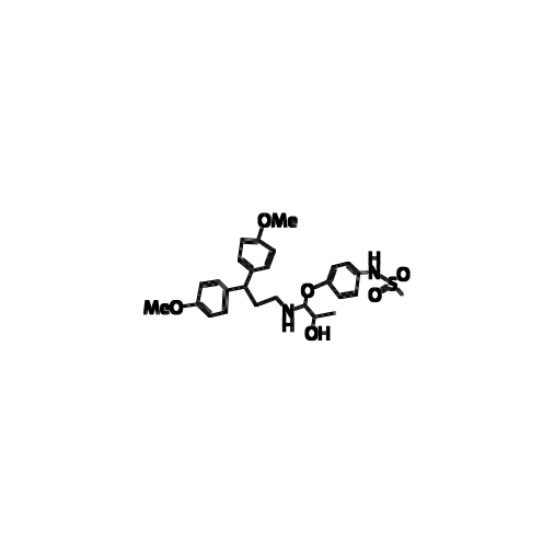 COc1ccc(C(CCNC(Oc2ccc(NS(C)(=O)=O)cc2)C(C)O)c2ccc(OC)cc2)cc1